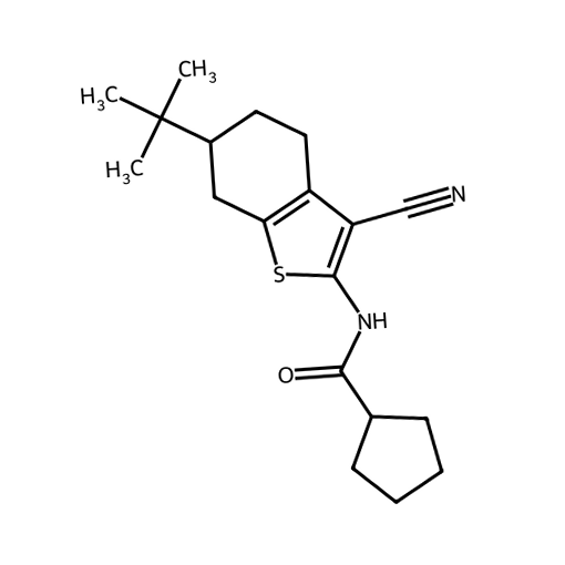 CC(C)(C)C1CCc2c(sc(NC(=O)C3CCCC3)c2C#N)C1